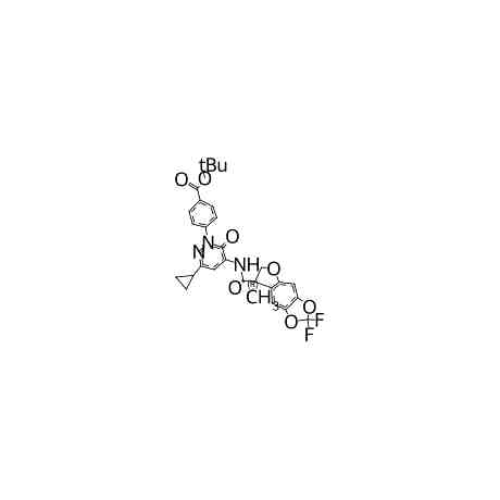 CC(C)(C)OC(=O)c1ccc(-n2nc(C3CC3)cc(NC(=O)[C@@]3(C)COc4cc5c(cc43)OC(F)(F)O5)c2=O)cc1